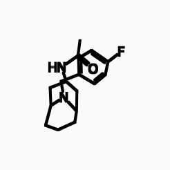 CC(=O)NC1CC2CCCC(C1)N2Cc1ccc(F)cc1